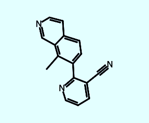 Cc1c(-c2ncccc2C#N)ccc2ccncc12